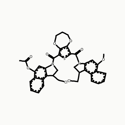 COc1cc2c(c3ccccc13)C(CCl)CN2C(=O)c1sc(C(=O)N2CC(CCl)c3c2cc(OC(C)=O)c2ccccc32)c2c1OCCCO2